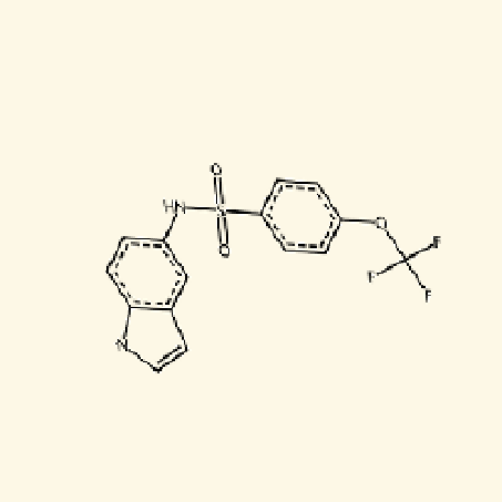 O=S(=O)(Nc1ccc2c(c1)C=C[N]2)c1ccc(OC(F)(F)F)cc1